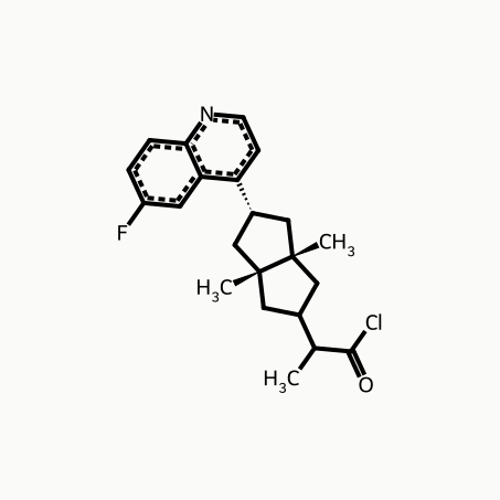 CC(C(=O)Cl)C1C[C@@]2(C)C[C@@H](c3ccnc4ccc(F)cc34)C[C@@]2(C)C1